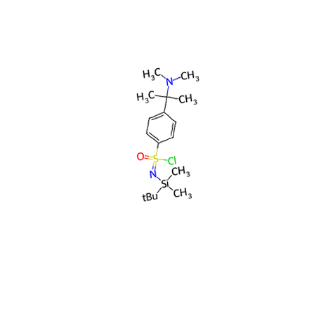 CN(C)C(C)(C)c1ccc(S(=O)(Cl)=N[Si](C)(C)C(C)(C)C)cc1